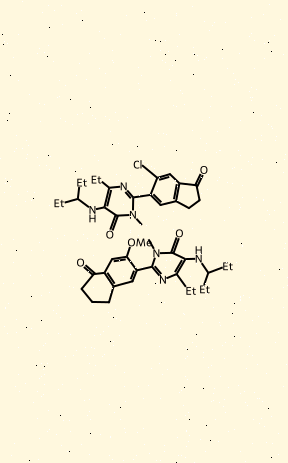 CCc1nc(-c2cc3c(cc2Cl)C(=O)CC3)n(C)c(=O)c1NC(CC)CC.CCc1nc(-c2cc3c(cc2OC)C(=O)CCC3)n(C)c(=O)c1NC(CC)CC